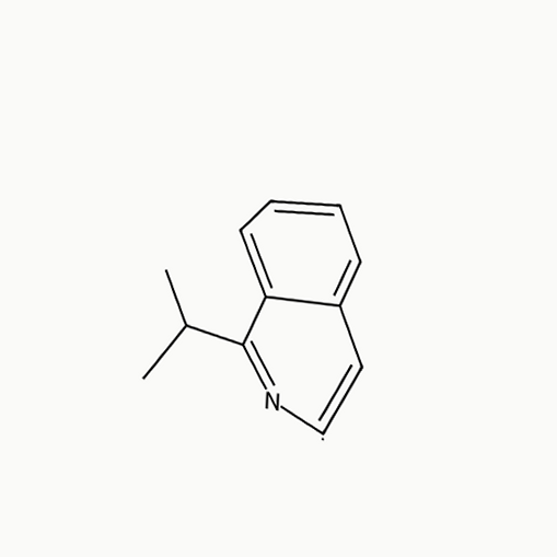 CC(C)c1n[c]cc2ccccc12